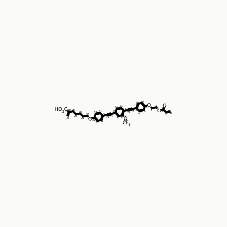 C=CC(=O)OCCOc1ccc(C#Cc2ccc(C#Cc3ccc(OCCCCCC(=C)C(=O)O)cc3)cc2OC(F)(F)F)cc1